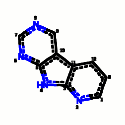 c1cnc2[nH]c3ncncc3c2c1